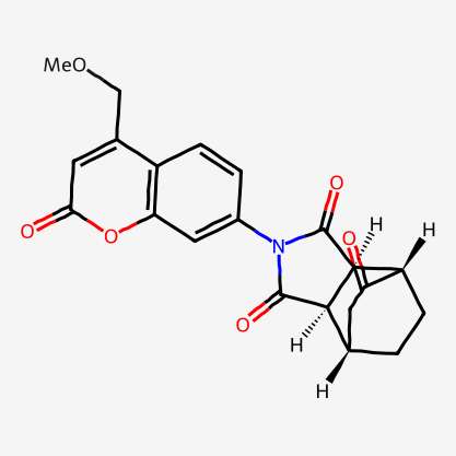 COCc1cc(=O)oc2cc(N3C(=O)[C@@H]4[C@H]5CC[C@H](C(=O)C5)[C@@H]4C3=O)ccc12